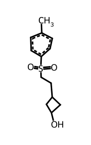 Cc1ccc(S(=O)(=O)CCC2CC(O)C2)cc1